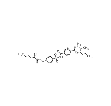 CCCCC(=O)NCCc1ccc(S(=O)(=O)NC(=O)c2ccc(C(=O)OC(CCC)C(C)C)nc2)cc1